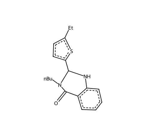 CCCCN1C(=O)c2ccccc2NC1c1ccc(CC)s1